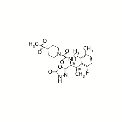 Cc1ccc(F)c([C@@H](C)[C@H](NS(=O)(=O)N2CCC(S(C)(=O)=O)CC2)c2n[nH]c(=O)o2)c1C